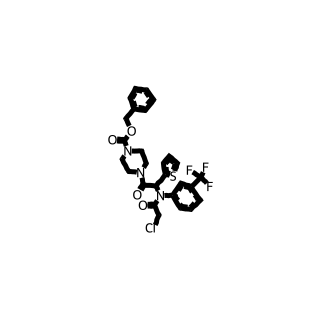 O=C(OCc1ccccc1)N1CCN(C(=O)C(c2cccs2)N(C(=O)CCl)c2cccc(C(F)(F)F)c2)CC1